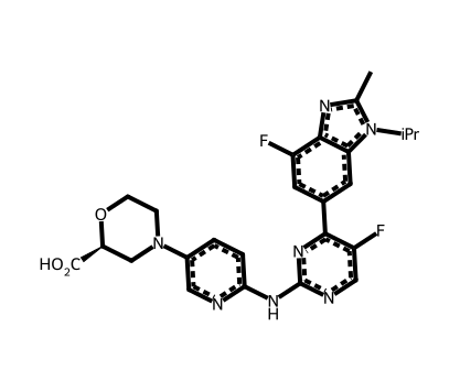 Cc1nc2c(F)cc(-c3nc(Nc4ccc(N5CCO[C@H](C(=O)O)C5)cn4)ncc3F)cc2n1C(C)C